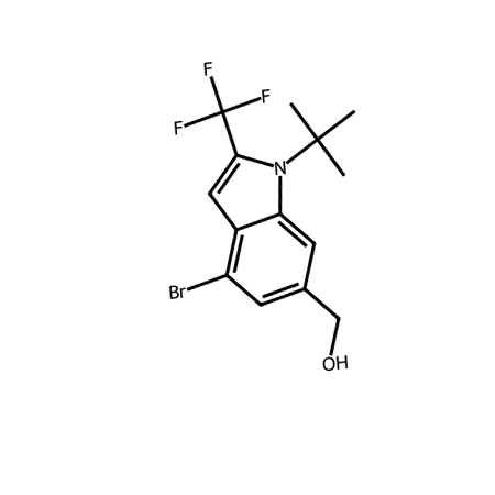 CC(C)(C)n1c(C(F)(F)F)cc2c(Br)cc(CO)cc21